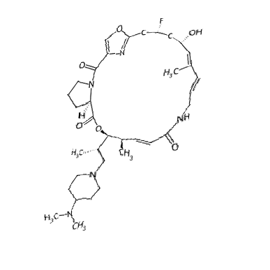 CC1=C\[C@@H](O)C[C@@H](F)Cc2nc(co2)C(=O)N2CCC[C@@H]2C(=O)O[C@H]([C@@H](C)CN2CCC(N(C)C)CC2)[C@H](C)/C=C/C(=O)NC\C=C\1